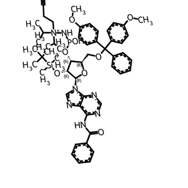 COc1ccc(C(OC[C@H]2O[C@@H](n3cnc4c(NC(=O)c5ccccc5)ncnc43)[C@H](O[Si](C)(C)C(C)(C)C)[C@@H]2OP(O)N[N+](CCC#N)(C(C)C)C(C)C)(c2ccccc2)c2ccc(OC)cc2)cc1